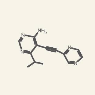 CC(C)c1ncnc(N)c1C#Cc1cnccn1